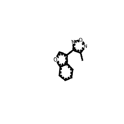 Cc1nonc1-c1coc2ccccc12